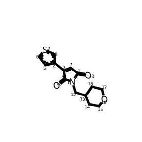 O=C1C=C(c2ccsc2)C(=O)N1CC1CCOCC1